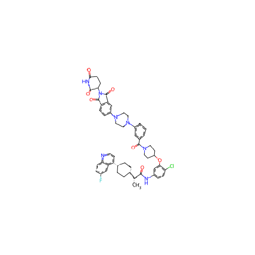 C[C@@H](C(=O)Nc1ccc(Cl)c(OC2CCN(C(=O)c3cccc(N4CCN(c5ccc6c(c5)C(=O)N(C5CCC(=O)NC5=O)C6=O)CC4)c3)CC2)c1)[C@H]1CC[C@@H](c2ccnc3ccc(F)cc32)CC1